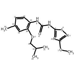 COc1nsc(NC(=O)Nc2ccc(C)cc2OCC(C)C)n1